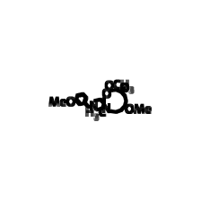 COc1cccc(CN2CCC3(CC2)COC(=O)C(C)C(=O)CCC(OC)CCCN3C)c1